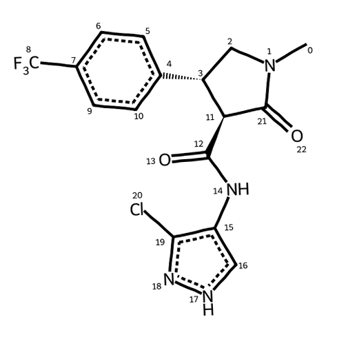 CN1C[C@@H](c2ccc(C(F)(F)F)cc2)[C@H](C(=O)Nc2c[nH]nc2Cl)C1=O